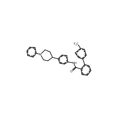 O=C(Nc1ccc(C2CCN(c3ccccc3)CC2)cc1)c1ccccc1-c1ccc(C(F)(F)F)cc1